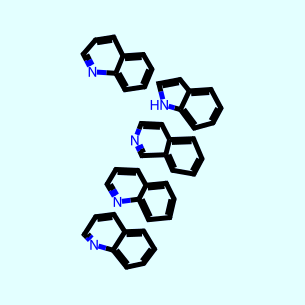 c1ccc2[nH]ccc2c1.c1ccc2cnccc2c1.c1ccc2ncccc2c1.c1ccc2ncccc2c1.c1ccc2ncccc2c1